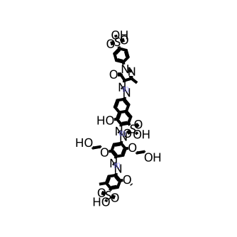 COc1cc(S(=O)(=O)O)c(C)cc1/N=N/c1cc(OCCO)c(/N=N/c2c(S(=O)(=O)O)cc3cc(/N=N/C4C(=O)N(c5ccc(S(=O)(=O)O)cc5)N=C4C)ccc3c2O)cc1OCCO